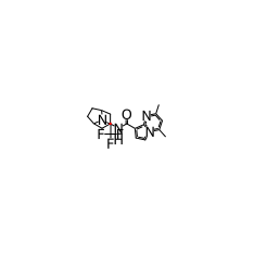 Cc1cc(C)n2ccc(C(=O)NC3CC4CCC(C3)N4CC(F)(F)F)c2n1